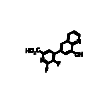 O=C(O)c1cc(-c2cc(O)c3ncccc3c2)c(F)c(F)n1